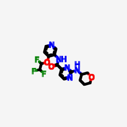 O=C(Nc1cnccc1OC(F)C(F)F)c1ccnc(NC2CCCOC2)n1